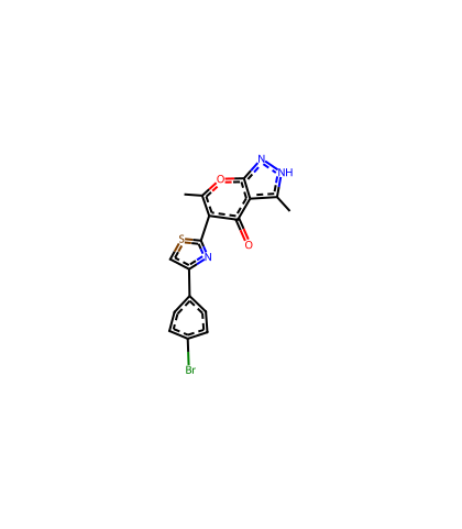 Cc1oc2n[nH]c(C)c2c(=O)c1-c1nc(-c2ccc(Br)cc2)cs1